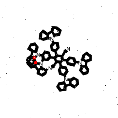 N#Cc1c(-c2ccc(-n3c4ccccc4c4ccccc43)cc2)c(-c2ccc(-n3c4ccccc4c4ccccc43)cc2)c(C#N)c(-c2ccc(-n3c4ccccc4c4ccccc43)c(-n3c4ccccc4c4ccccc43)c2)c1-c1ccc(-n2c3ccccc3c3ccccc32)cc1